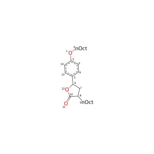 CCCCCCCCOc1ccc(C2CC(CCCCCCCC)C(=O)O2)cc1